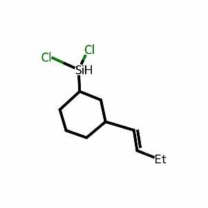 CCC=CC1CCCC([SiH](Cl)Cl)C1